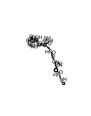 [N-]=[N+]=NCOC1C[C@H](n2cc(C#CCNC(=O)COCCOC(COc3cccc(C(=O)NCCNCC4CCC4)c3)N=[N+]=[N-])c3c(=O)[nH]c(N)nc32)O[C@@H]1COP(=O)(O)OP(=O)(O)OP(=O)(O)O